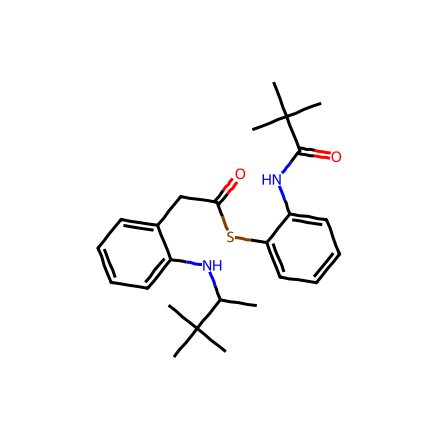 CC(Nc1ccccc1CC(=O)Sc1ccccc1NC(=O)C(C)(C)C)C(C)(C)C